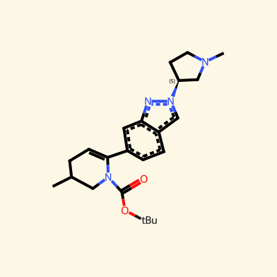 CC1CC=C(c2ccc3cn([C@H]4CCN(C)C4)nc3c2)N(C(=O)OC(C)(C)C)C1